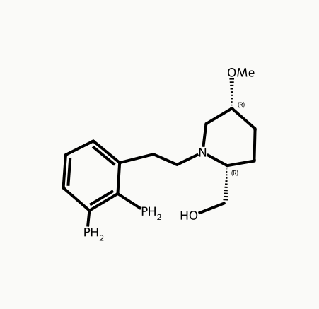 CO[C@@H]1CC[C@H](CO)N(CCc2cccc(P)c2P)C1